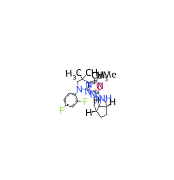 CNc1nc(N[C@@H]2[C@@H]3CC[C@H]2CN(c2nnc(C)o2)C3)nc2c1C(C)(C)CN2c1ccc(F)cc1F